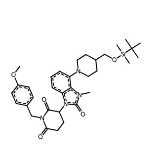 COc1ccc(CN2C(=O)CCC(n3c(=O)n(C)c4c(N5CCC(CO[Si](C)(C)C(C)(C)C)CC5)cccc43)C2=O)cc1